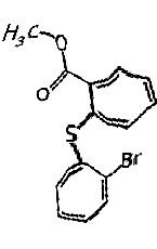 COC(=O)c1ccccc1Sc1ccccc1Br